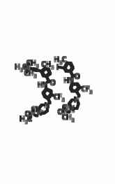 Cc1ccc(C(=O)Nc2ccc(CN3CCN(CP(C)(C)=O)CC3)c(C(F)(F)F)c2)cc1C#C[Si](C)(C)C.Cc1ccc(C(=O)Nc2ccc(CN3CCN(CP(C)(C)=O)CC3)c(C(F)(F)F)c2)cc1I